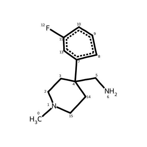 CN1CCC(CN)(c2cccc(F)c2)CC1